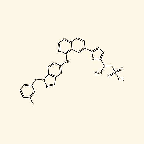 CNC(CS(C)(=O)=O)c1ccc(-c2ccc3ncnc(Nc4ccc5c(cnn5Cc5cccc(F)c5)c4)c3c2)o1